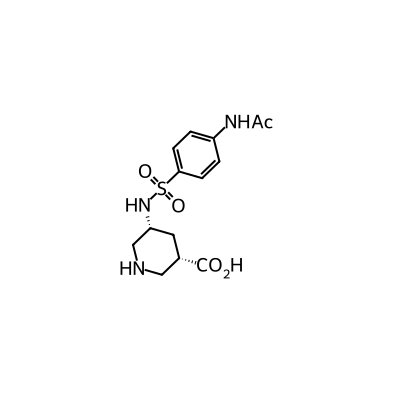 CC(=O)Nc1ccc(S(=O)(=O)N[C@H]2CNC[C@@H](C(=O)O)C2)cc1